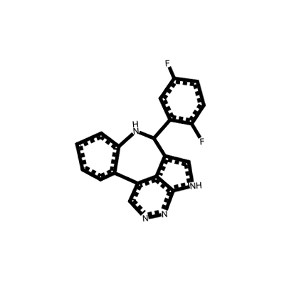 Fc1ccc(F)c(C2Nc3ccccc3-c3cnnc4[nH]cc2c34)c1